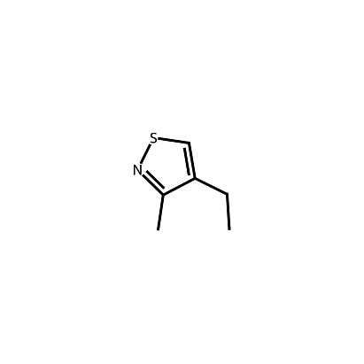 CCc1csnc1C